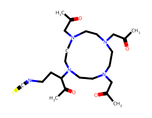 CC(=O)CN1CCN(CC(C)=O)CCN(C(CCN=C=S)C(C)=O)CCN(CC(C)=O)CC1